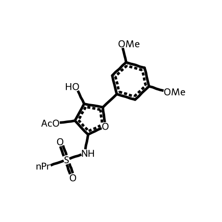 CCCS(=O)(=O)Nc1oc(-c2cc(OC)cc(OC)c2)c(O)c1OC(C)=O